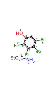 CCOC(N)=O.Oc1cc(Br)c(Br)c(Br)c1Br